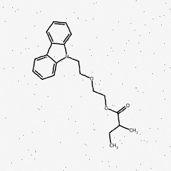 CCC(C)C(=O)OCCOCCn1c2ccccc2c2ccccc21